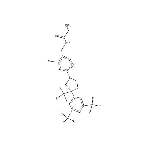 CCC(=O)NCc1ccc(N2CCC(c3cc(C(F)(F)F)cc(C(F)(F)F)c3)(C(F)(F)F)C2)cc1Cl